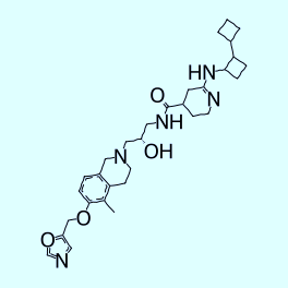 Cc1c(OCc2cnco2)ccc2c1CCN(C[C@@H](O)CNC(=O)C1CCN=C(NC3CCC3C3CCC3)C1)C2